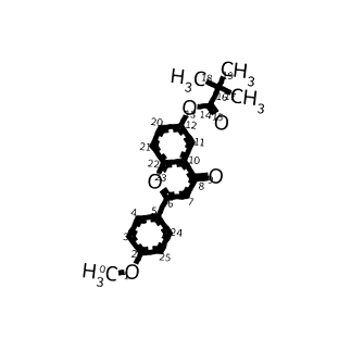 COc1ccc(-c2cc(=O)c3cc(OC(=O)C(C)(C)C)ccc3o2)cc1